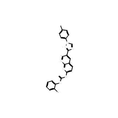 Cc1ccc(-n2cnc(-c3cnc4nc(NC(=S)Nc5ccccc5C(C)C)ccc4c3)n2)cc1